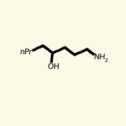 CCCCC(O)CCCN